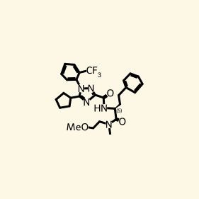 COCCN(C)C(=O)[C@H](CCc1ccccc1)NC(=O)c1nc(C2CCCC2)n(-c2ccccc2C(F)(F)F)n1